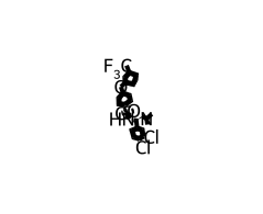 CN(C)C[C@@H](NS(=O)(=O)c1ccc(Oc2cccc(C(F)(F)F)c2)cc1)c1ccc(Cl)c(Cl)c1